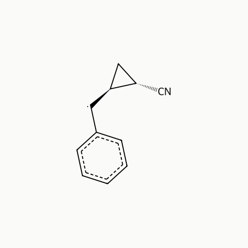 N#C[C@H]1C[C@@H]1[CH]c1ccccc1